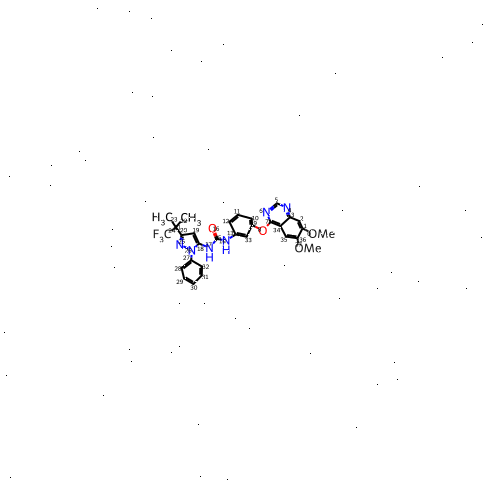 COc1cc2ncnc(Oc3cccc(NC(=O)Nc4cc(C(C)(C)C(F)(F)F)nn4-c4ccccc4)c3)c2cc1OC